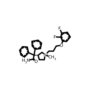 C[N+]1(CCCOc2cccc(F)c2F)CC[C@@H](C(C(N)=O)(c2ccccc2)c2ccccc2)C1